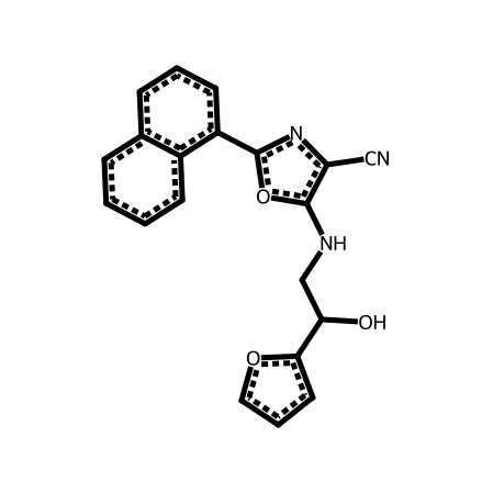 N#Cc1nc(-c2cccc3ccccc23)oc1NCC(O)c1ccco1